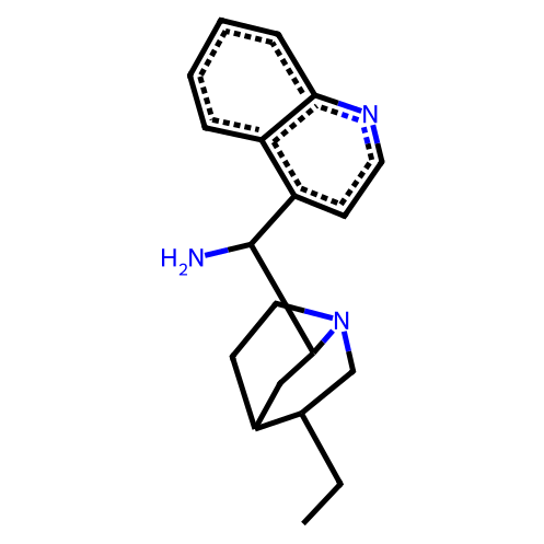 CCC1CN2CCC1CC2C(N)c1ccnc2ccccc12